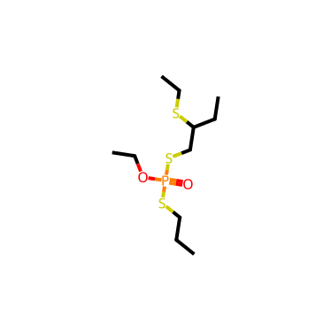 CCCSP(=O)(OCC)SCC(CC)SCC